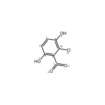 O=I(=O)c1c(O)ccc(O)c1Cl